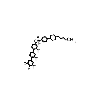 CCCCCC1CCC(c2ccc(C(F)(F)Oc3ccc(-c4ccc(-c5cc(F)c(F)c(F)c5)c(F)c4)c(F)c3)cc2)CC1